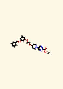 COC(=O)c1ncc(N2CCC(OCCOc3cccc(OCc4ccccc4)c3)CC2)cn1